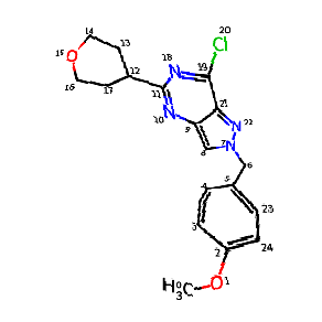 COc1ccc(Cn2cc3nc(C4CCOCC4)nc(Cl)c3n2)cc1